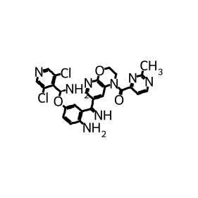 Cc1nccc(C(=O)N2CCOc3ncc(C(=N)c4cc(O[C@H](N)c5c(Cl)cncc5Cl)ccc4N)cc32)n1